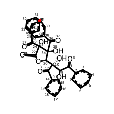 O=C(c1ccccc1)C(O)[C@@](O)(C(=O)c1ccccc1)[C@H]1OC(=O)[C@](O)(C(=O)c2ccccc2)[C@]1(O)C(=O)c1ccccc1